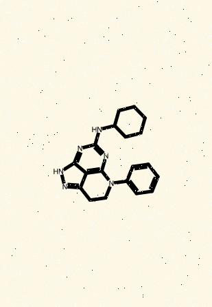 c1ccc(N2CCc3n[nH]c4nc(NC5CCCCC5)nc2c34)cc1